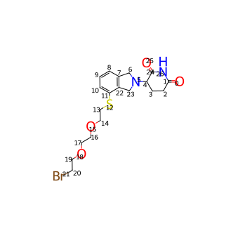 O=C1CCC(N2Cc3cccc(SCCOCCOCCBr)c3C2)C(=O)N1